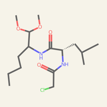 CCCCC(NC(=O)[C@H](CC(C)C)NC(=O)CCl)C(OC)OC